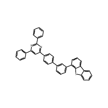 c1ccc(-c2cc(-c3ccc(-c4cccc(-c5cccc6c5sc5ccccc56)c4)cc3)nc(-c3ccccc3)n2)cc1